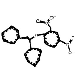 O=[N+]([O-])c1ccc(OC(c2ccccc2)c2ccccc2)c([N+](=O)[O-])c1